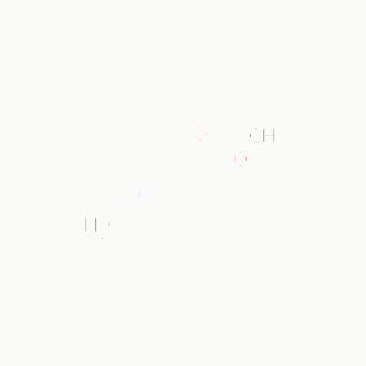 [CH2]/C=C/CCC(=O)OC